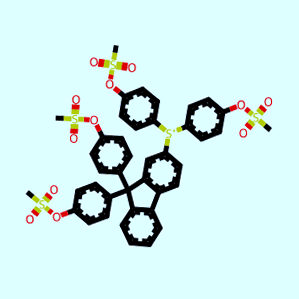 CS(=O)(=O)Oc1ccc([S+](c2ccc(OS(C)(=O)=O)cc2)c2ccc3c(c2)C(c2ccc(OS(C)(=O)=O)cc2)(c2ccc(OS(C)(=O)=O)cc2)c2ccccc2-3)cc1